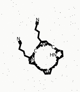 N#CCCCC1=Cc2cc3ccc(cc4nc(cc5cc(CCCC#N)c(cc1n2)[nH]5)C=C4)[nH]3